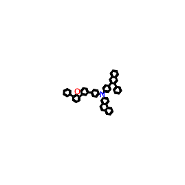 c1ccc(-c2cc3ccccc3cc2-c2ccc(N(c3ccc(-c4ccc5oc6c(-c7ccccc7)cccc6c5c4)cc3)c3ccc4c(ccc5ccccc54)c3)cc2)cc1